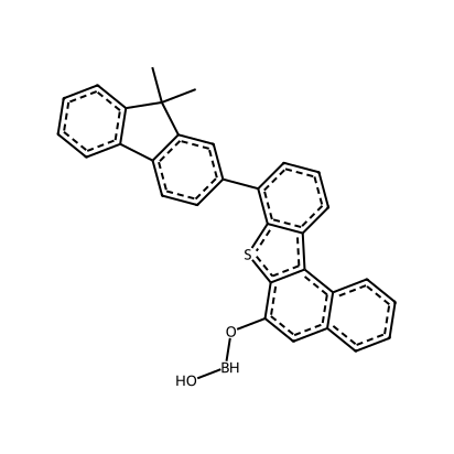 CC1(C)c2ccccc2-c2ccc(-c3cccc4c3sc3c(OBO)cc5ccccc5c34)cc21